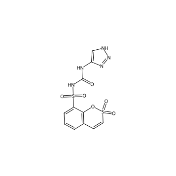 O=C(Nc1c[nH]nn1)NS(=O)(=O)c1cccc2c1OS(=O)(=O)C=C2